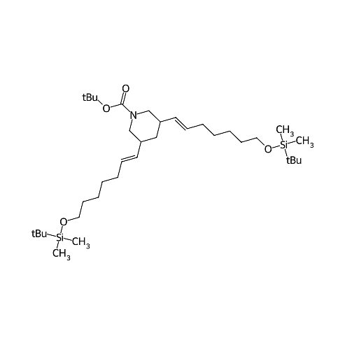 CC(C)(C)OC(=O)N1CC(C=CCCCCCO[Si](C)(C)C(C)(C)C)CC(C=CCCCCCO[Si](C)(C)C(C)(C)C)C1